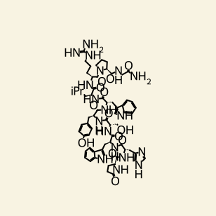 CC(C)C[C@H](NC(=O)[C@H](Cc1c[nH]c2ccccc12)NC(=O)[C@H](Cc1ccc(O)cc1)NC(=O)[C@H](CO)NC(=O)[C@H](Cc1c[nH]c2ccccc12)NC(=O)[C@H](Cc1c[nH]cn1)NC(=O)[C@@H]1CCC(=O)N1)C(=O)N[C@@H](CCCNC(=N)N)C(=O)N1CCC[C@H]1C(=O)NCC(N)=O